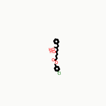 O=C(CCCC(O)CC(CO)Cc1ccccc1)OCc1ccc(Cl)cc1